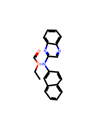 CCOC=O.c1ccc2cc(Nc3cnc4ccccc4n3)ccc2c1